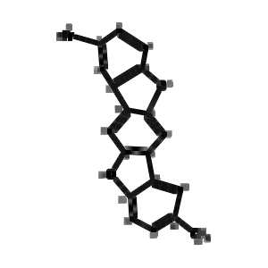 CCCc1ccc2oc3cc4c(cc3c2c1)oc1ccc(C)cc14